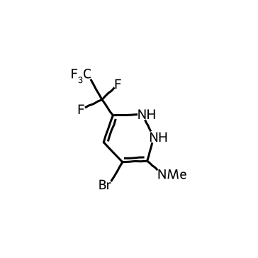 CNC1=C(Br)C=C(C(F)(F)C(F)(F)F)NN1